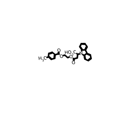 Cc1ccc(C(=O)OCCOC(=O)CC(C(=O)O)n2c3ccccc3c3ccccc32)cc1